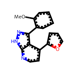 COc1ccccc1-c1n[nH]c2nccc(-c3ccco3)c12